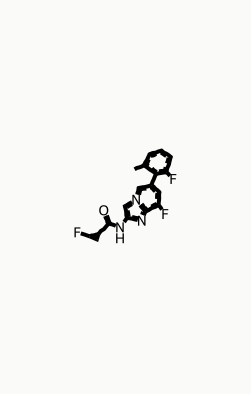 Cc1cccc(F)c1-c1cc(F)c2nc(NC(=O)C3CC3F)cn2c1